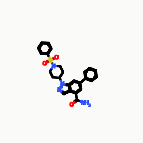 NC(=O)c1cc(-c2ccccc2)cc2c1cnn2C1CCN(S(=O)(=O)c2ccccc2)CC1